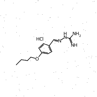 CCCCOc1ccc(C=NNC(=N)N)cc1.Cl